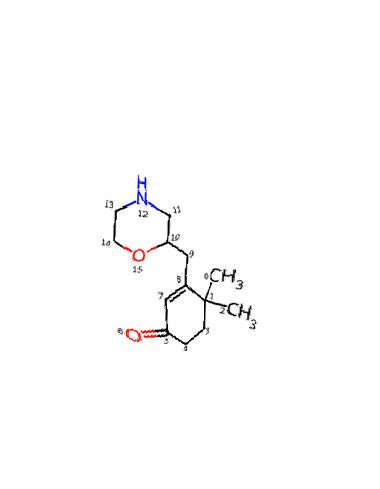 CC1(C)CCC(=O)C=C1CC1CNCCO1